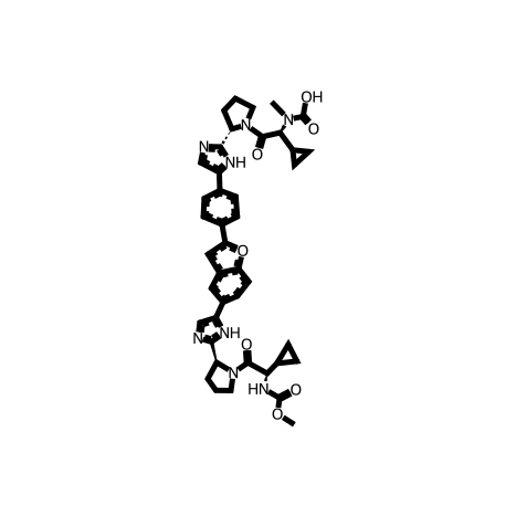 COC(=O)N[C@H](C(=O)N1CCC[C@H]1c1ncc(-c2ccc3oc(-c4ccc(-c5cnc([C@@H]6CCCN6C(=O)[C@H](C6CC6)N(C)C(=O)O)[nH]5)cc4)cc3c2)[nH]1)C1CC1